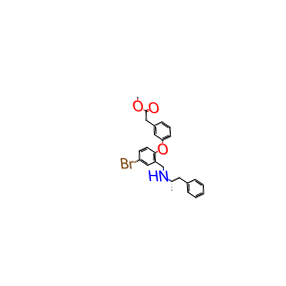 COC(=O)Cc1cccc(Oc2ccc(Br)cc2CN[C@@H](C)Cc2ccccc2)c1